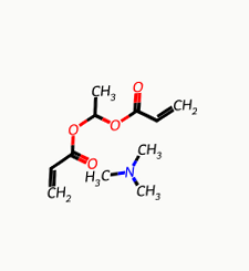 C=CC(=O)OC(C)OC(=O)C=C.CN(C)C